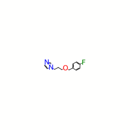 Fc1ccc(COCCCn2ccnc2)cc1